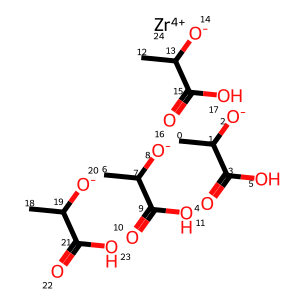 CC([O-])C(=O)O.CC([O-])C(=O)O.CC([O-])C(=O)O.CC([O-])C(=O)O.[Zr+4]